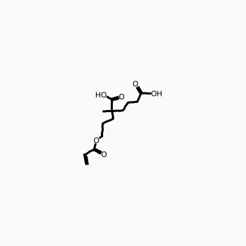 C=CC(=O)OCCCC(C)(CCCC(=O)O)C(=O)O